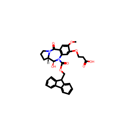 COc1cc2c(cc1OCCC(=O)O)N(C(=O)OCC1c3ccccc3-c3ccccc31)[C@@H](O)[C@@H]1CCCN1C2=O